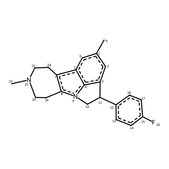 Cc1cc2c3c(c1)c1c(n3CC2c2ccc(F)cc2)CCN(C)CC1